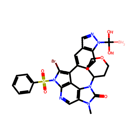 BC(O)(O)n1ncc2cc(-c3c(Br)n(S(=O)(=O)c4ccccc4)c4ncc5c(c34)n(C3CCOCC3)c(=O)n5C)ccc21